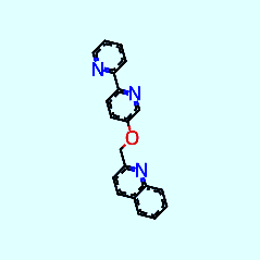 c1ccc(-c2ccc(OCc3ccc4ccccc4n3)cn2)nc1